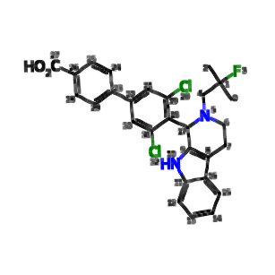 CC(C)(F)CN1CCc2c([nH]c3ccccc23)C1c1c(Cl)cc(-c2ccc(C(=O)O)cc2)cc1Cl